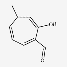 CC1C=CC=C(C=O)C(O)=C1